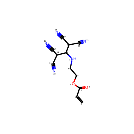 C=CC(=O)OCCNC(C(C#N)C#N)C(C#N)C#N